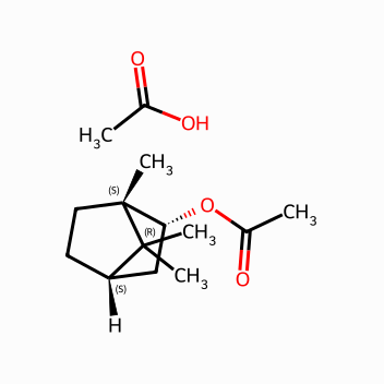 CC(=O)O.CC(=O)O[C@@H]1C[C@@H]2CC[C@@]1(C)C2(C)C